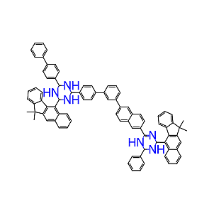 CC1(C)c2ccccc2-c2c1cc1ccccc1c2C1N=C(c2ccc3cc(-c4cccc(-c5ccc(C6NC(c7ccc(-c8ccccc8)cc7)NC(c7c8c(cc9ccccc79)C(C)(C)c7ccccc7-8)N6)cc5)c4)ccc3c2)NC(c2ccccc2)N1